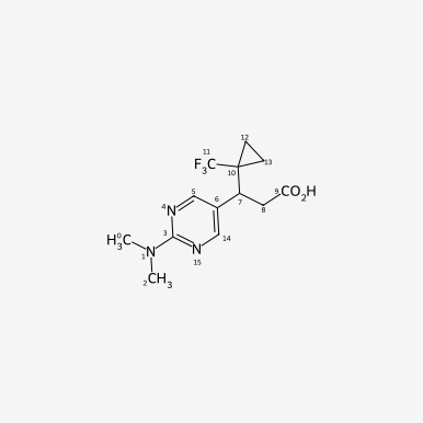 CN(C)c1ncc(C(CC(=O)O)C2(C(F)(F)F)CC2)cn1